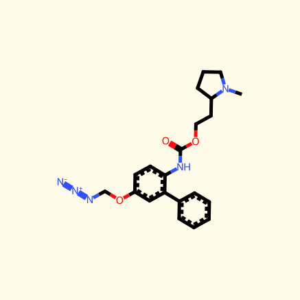 CN1CCCC1CCOC(=O)Nc1ccc(OCN=[N+]=[N-])cc1-c1ccccc1